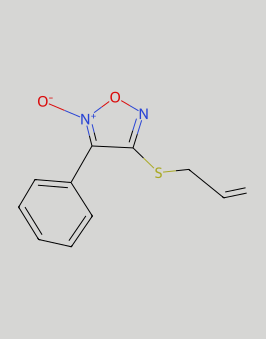 C=CCSc1no[n+]([O-])c1-c1ccccc1